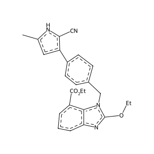 CCOC(=O)c1cccc2nc(OCC)n(Cc3ccc(-c4cc(C)[nH]c4C#N)cc3)c12